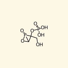 O=P(O)(O)OC1(CO)C2OP21=O